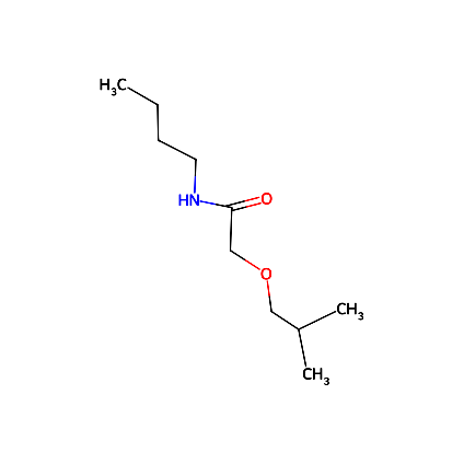 CCCCNC(=O)COCC(C)C